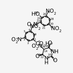 O=C(O)c1cc([N+](=O)[O-])cc([N+](=O)[O-])c1.O=C1NC(=O)C([N+](=O)[O-])C(=O)N1.O=[N+]([O-])c1cc([N+](=O)[O-])c(O)c([N+](=O)[O-])c1